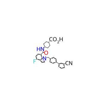 N#Cc1cccc(-c2ccc(Cn3ccc4c(F)ccc(C(=O)NC5CCC(C(=O)O)CC5)c43)cc2)c1